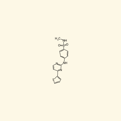 CNS(=O)(=O)c1ccc(Nc2nccc(-c3cccs3)n2)cc1